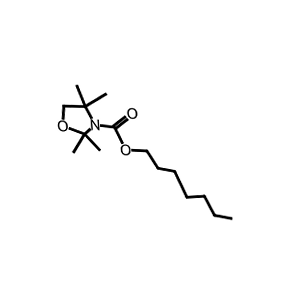 CCCCCCCOC(=O)N1C(C)(C)COC1(C)C